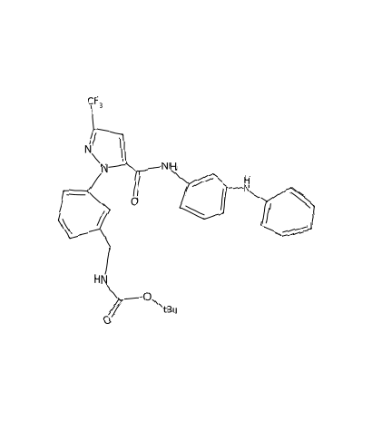 CC(C)(C)OC(=O)NCc1cccc(-n2nc(C(F)(F)F)cc2C(=O)Nc2cccc(Nc3ccccc3)c2)c1